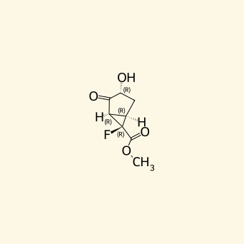 COC(=O)[C@@]1(F)[C@@H]2C[C@@H](O)C(=O)[C@@H]21